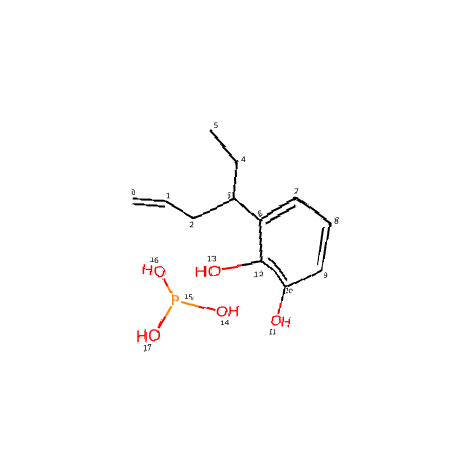 C=CCC(CC)c1cccc(O)c1O.OP(O)O